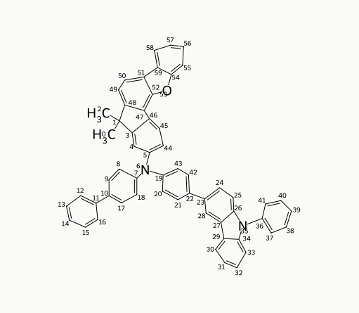 CC1(C)c2cc(N(c3ccc(-c4ccccc4)cc3)c3ccc(-c4ccc5c(c4)c4ccccc4n5-c4ccccc4)cc3)ccc2-c2c1ccc1c2oc2ccccc21